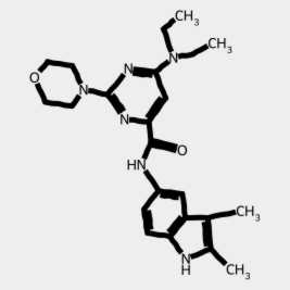 CCN(CC)c1cc(C(=O)Nc2ccc3[nH]c(C)c(C)c3c2)nc(N2CCOCC2)n1